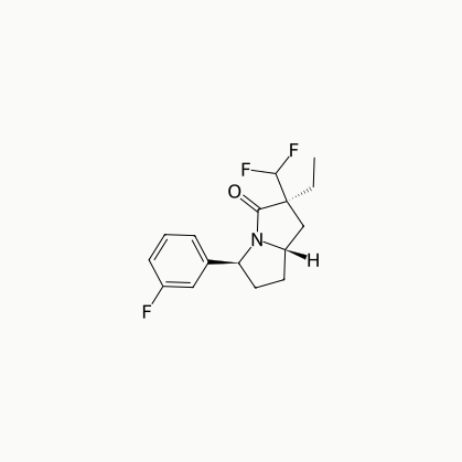 CC[C@]1(C(F)F)C[C@@H]2CC[C@@H](c3cccc(F)c3)N2C1=O